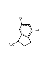 CC(=O)OC1CCc2c(F)cc(Br)cc21